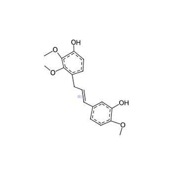 COc1ccc(/C=C/Cc2ccc(O)c(OC)c2OC)cc1O